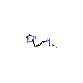 C/N=C\C=C/C1=NCC=N1